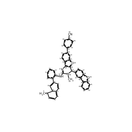 CC1C=CC=C2C=CC(c3ccccc3NC3=Nc4c(oc5cc(-c6ccc(C#N)cc6)ccc45)C(c4ccc5oc6ccccc6c5c4)N3C)=CC21